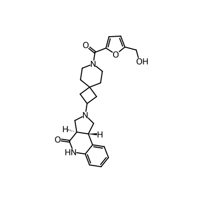 O=C1Nc2ccccc2[C@H]2CN(C3CC4(CCN(C(=O)c5ccc(CO)o5)CC4)C3)C[C@H]12